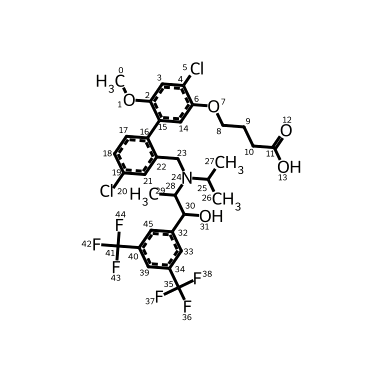 COc1cc(Cl)c(OCCCC(=O)O)cc1-c1ccc(Cl)cc1CN(C(C)C)C(C)C(O)c1cc(C(F)(F)F)cc(C(F)(F)F)c1